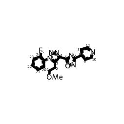 COCCc1c(-c2nc(-c3ccncc3)no2)nnn1-c1ccccc1F